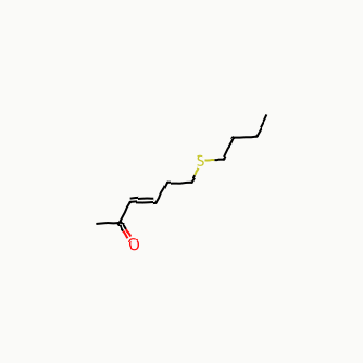 CCCCSCCC=CC(C)=O